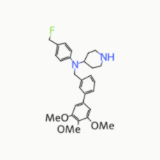 COc1cc(-c2cccc(CN(c3ccc(CF)cc3)C3CCNCC3)c2)cc(OC)c1OC